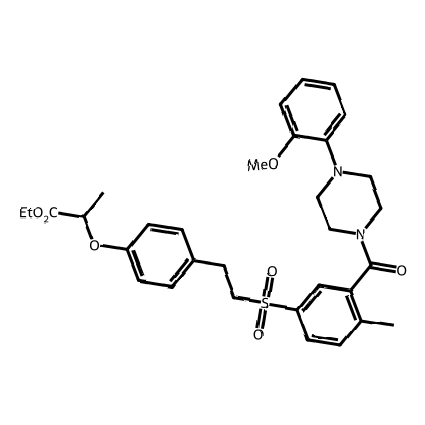 CCOC(=O)C(C)Oc1ccc(CCS(=O)(=O)c2ccc(C)c(C(=O)N3CCN(c4ccccc4OC)CC3)c2)cc1